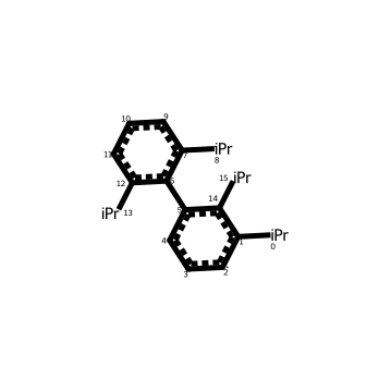 CC(C)c1[c]ccc(-c2c(C(C)C)cccc2C(C)C)c1C(C)C